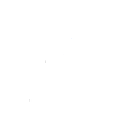 C=C(C)Cc1ccc(/C(C)=C/N=C/NC2=CC(C)C=C2)cc1